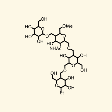 CCC1OC(CO)C(COCC2OC(CO)C(O)C(COCC3OC(COC)C(COC4OC(CO)C(O)C(O)C4O)C(O)C3NC(C)=O)C2O)C(O)C1O